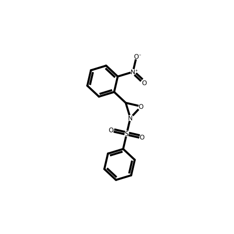 O=[N+]([O-])c1ccccc1C1ON1S(=O)(=O)c1ccccc1